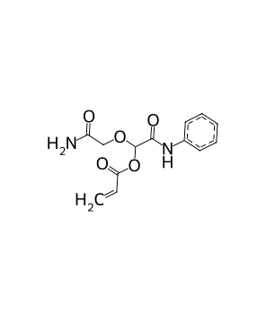 C=CC(=O)OC(OCC(N)=O)C(=O)Nc1ccccc1